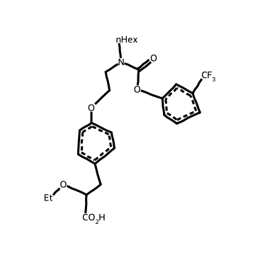 CCCCCCN(CCOc1ccc(CC(OCC)C(=O)O)cc1)C(=O)Oc1cccc(C(F)(F)F)c1